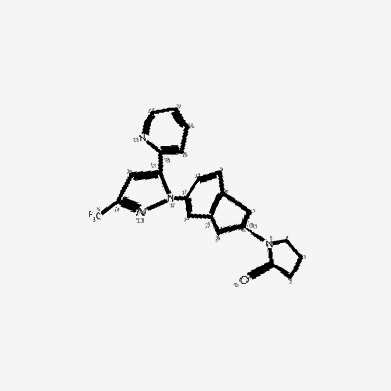 O=C1CCCN1[C@@H]1Cc2ccc(-n3nc(C(F)(F)F)cc3-c3ccccn3)cc2C1